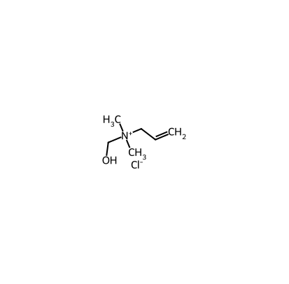 C=CC[N+](C)(C)CO.[Cl-]